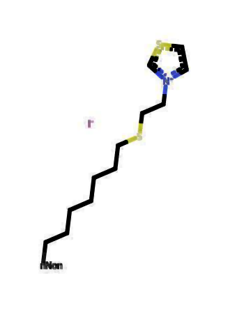 CCCCCCCCCCCCCCCCSCC[n+]1ccsc1.[I-]